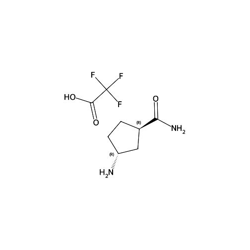 NC(=O)[C@@H]1CC[C@@H](N)C1.O=C(O)C(F)(F)F